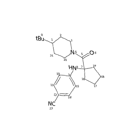 CC(C)(C)C1CCN(C(=O)C2(Nc3ccc(C#N)cc3)CCCC2)CC1